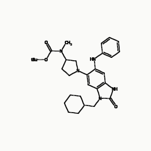 CN(C(=O)OC(C)(C)C)C1CCN(c2cc3c(cc2Nc2ccccc2)[nH]c(=O)n3CC2CCCCC2)C1